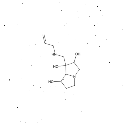 C=CCNCC1(O)C(O)CN2CCC(O)C21